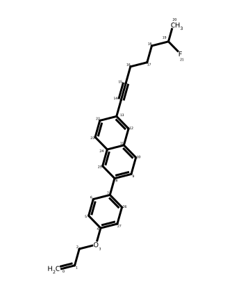 C=CCOc1ccc(-c2ccc3cc(C#CCCCC(C)F)ccc3c2)cc1